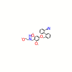 COCCNCc1c(OC)cc(OCc2ccccc2-c2ccccc2C#N)cc1OC